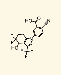 N#Cc1ccc(-n2cc(C(F)(F)F)c3c2CCC(F)(F)C3O)cc1C(=O)O